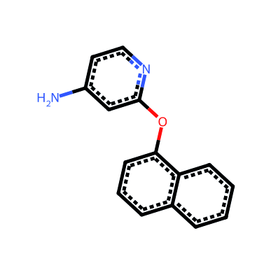 Nc1ccnc(Oc2cccc3ccccc23)c1